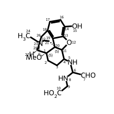 CO[C@@]12CCC(NC(C=O)NCC(=O)O)C3Oc4c(O)ccc5c4[C@@]31CCN(C)[C@@H]2C5